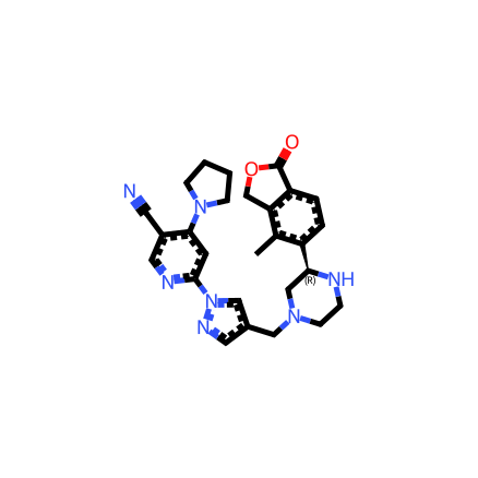 Cc1c([C@@H]2CN(Cc3cnn(-c4cc(N5CCCC5)c(C#N)cn4)c3)CCN2)ccc2c1COC2=O